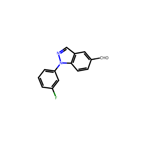 O=Cc1ccc2c(cnn2-c2cccc(F)c2)c1